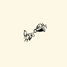 COC(=O)C(CCc1ccc(O)c(OC)c1)CNC(C)=O